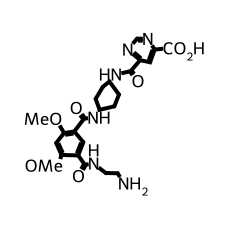 COc1cc(OC)c(C(=O)N[C@H]2CC[C@H](NC(=O)c3cc(C(=O)O)ncn3)CC2)cc1C(=O)NCCN